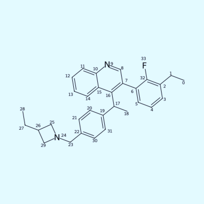 CCc1cccc(-c2cnc3ccccc3c2C(C)c2ccc(CN3CC(CC)C3)cc2)c1F